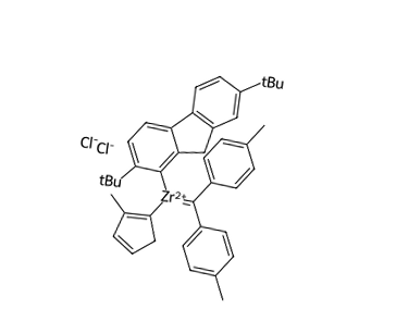 CC1=[C]([Zr+2](=[C](c2ccc(C)cc2)c2ccc(C)cc2)[c]2c(C(C)(C)C)ccc3c2Cc2cc(C(C)(C)C)ccc2-3)CC=C1.[Cl-].[Cl-]